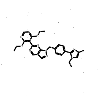 CCOc1ncnc(OCC)c1-c1ncc2cnn(Cc3ccc(-c4nc(C)cn4CC)cc3)c2n1